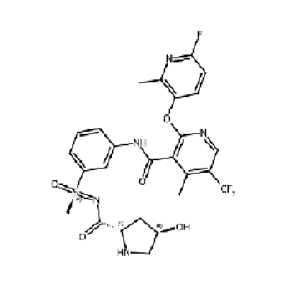 Cc1nc(F)ccc1Oc1ncc(C(F)(F)F)c(C)c1C(=O)Nc1cccc([S@@](C)(=O)=NC(=O)[C@@H]2C[C@@H](O)CN2)c1